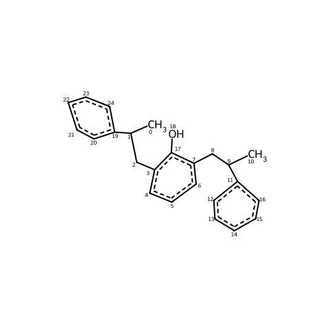 CC(Cc1cccc(CC(C)c2ccccc2)c1O)c1ccccc1